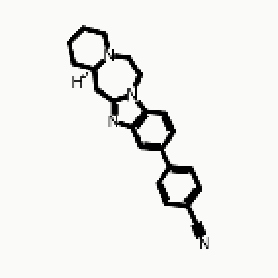 N#Cc1ccc(-c2ccc3c(c2)nc2n3CCN3CCCC[C@@H]3C2)cc1